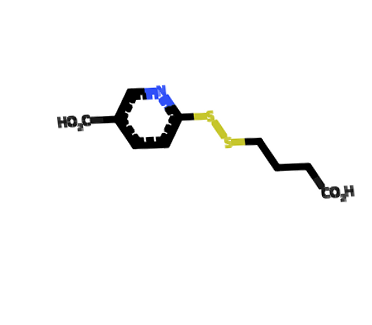 O=C(O)CCCSSc1ccc(C(=O)O)cn1